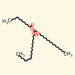 CCCC/C=C\CCCCCCCC(=O)OC[C@@H](COCCCCCCCCCCCCCCCCCC)OC(=O)CCCCCCCCCCC/C=C\C/C=C\CCCCC